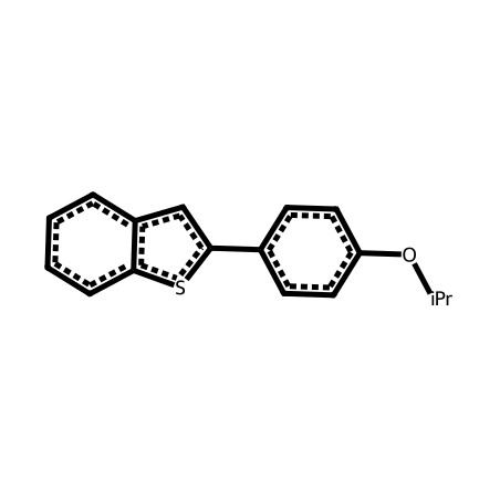 CC(C)Oc1ccc(-c2cc3ccccc3s2)cc1